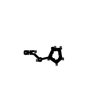 O=COc1cc[c]s1